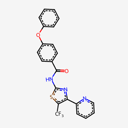 O=C(Nc1nc(-c2ccccn2)c(C(F)(F)F)s1)c1ccc(Oc2ccccc2)cc1